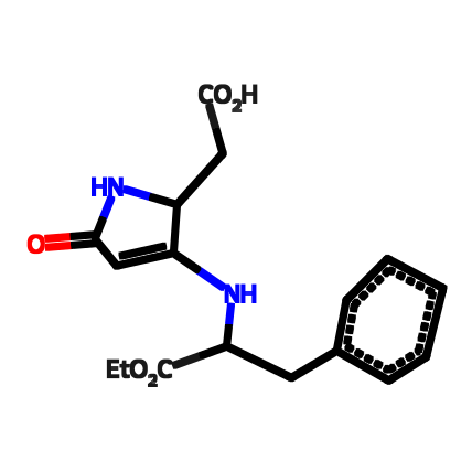 CCOC(=O)C(Cc1ccccc1)NC1=CC(=O)NC1CC(=O)O